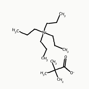 CC(C)(C)C(=O)[O-].CCC[N+](CCC)(CCC)CCC